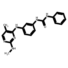 CNc1ncc(C)c(Nc2cccc(NC(=O)Nc3ccccc3)c2)n1